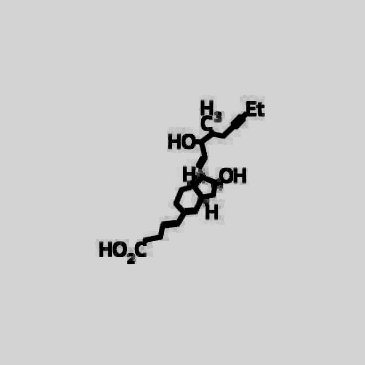 CCC#CCC(C)C(O)C=C[C@H]1[C@H]2CCC(C=CCCC(=O)O)=C[C@@H]2C[C@H]1O